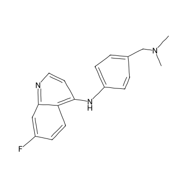 CN(C)Cc1ccc(Nc2ccnc3cc(F)ccc23)cc1